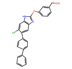 OCc1cccc(Oc2nc3cc(-c4ccc(-c5ccccc5)cc4)c(Cl)cc3[nH]2)c1